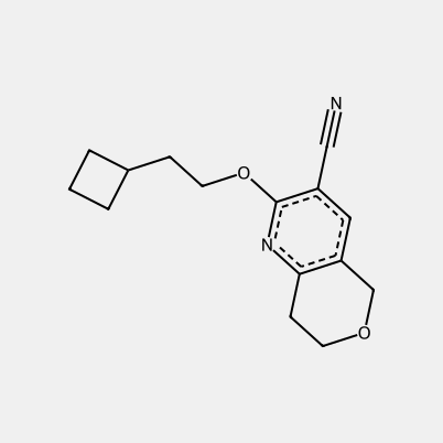 N#Cc1cc2c(nc1OCCC1CCC1)CCOC2